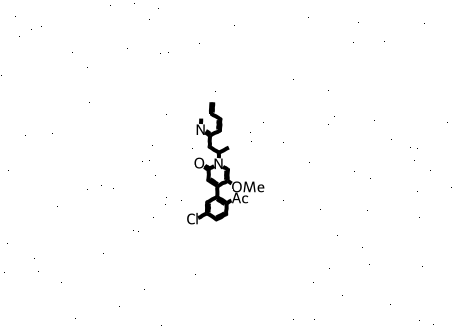 C=C/C=C\C(CC(C)n1cc(OC)c(-c2cc(Cl)ccc2C(C)=O)cc1=O)=N/C